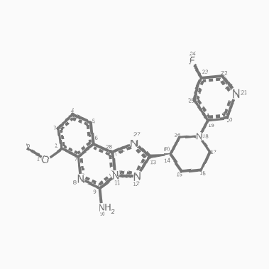 COc1cccc2c1nc(N)n1nc([C@@H]3CCCN(c4cncc(F)c4)C3)nc21